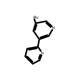 CCC(C)c1cncc(-c2ccccn2)c1